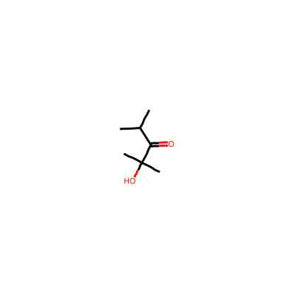 CC(C)C(=O)C(C)(C)O